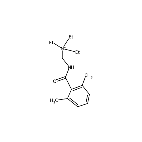 CC[N+](CC)(CC)CNC(=O)c1c(C)cccc1C